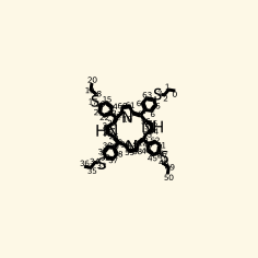 CCCSc1ccc(-c2c3nc(c(-c4ccc(SCCC)cc4)c4ccc([nH]4)c(-c4ccc(SCCC)cc4)c4nc(c(-c5ccc(SCCC)cc5)c5ccc2[nH]5)C=C4)C=C3)cc1